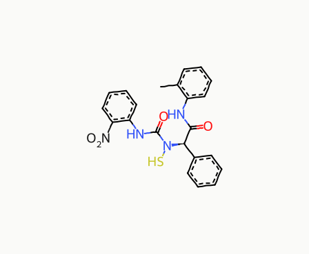 Cc1ccccc1NC(=O)[C@@H](c1ccccc1)N(S)C(=O)Nc1ccccc1[N+](=O)[O-]